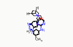 Cc1cc(C)cc(Nc2ncc3c(n2)CN(C2[C@@H]4C[C@H]2CN(C(=O)c2ccc5[nH]nnc5c2)C4)C3)c1